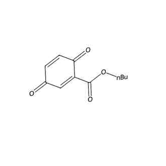 CCCCOC(=O)C1=CC(=O)C=CC1=O